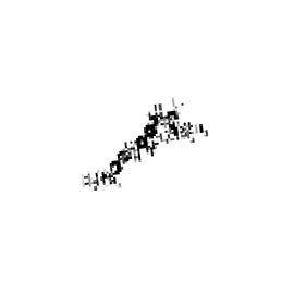 COC(=O)N[C@H](C(=O)N1C[C@@H](C)C[C@H]1c1nc(-c2ccc(-c3ccc(NC(=O)N4CCN(C5CCN(C(=O)OC(C)(C)C)CC5)CC4)cc3OC(F)(F)F)cc2)c(Cl)[nH]1)C(C)C